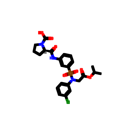 CC(C)OC(=O)CN(c1cccc(Cl)c1)S(=O)(=O)c1cccc(NC(=O)[C@H]2CCCN2C(=O)O)c1